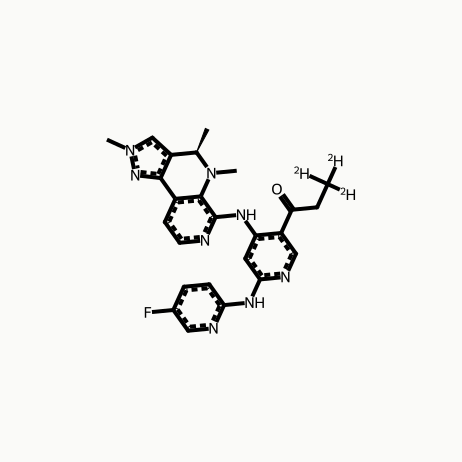 [2H]C([2H])([2H])CC(=O)c1cnc(Nc2ccc(F)cn2)cc1Nc1nccc2c1N(C)[C@H](C)c1cn(C)nc1-2